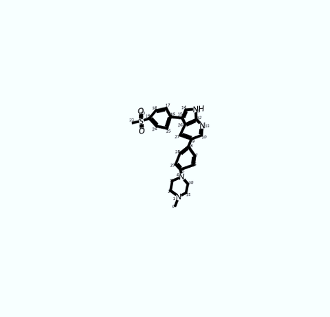 CN1CCN(c2ccc(-c3cnc4[nH]cc(-c5ccc(S(C)(=O)=O)cc5)c4c3)cc2)CC1